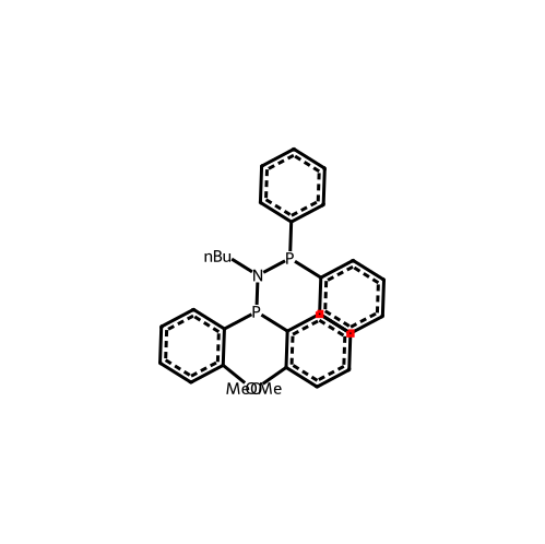 CCCCN(P(c1ccccc1)c1ccccc1)P(c1ccccc1OC)c1ccccc1OC